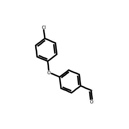 O=[C]c1ccc(Oc2ccc(Cl)cc2)cc1